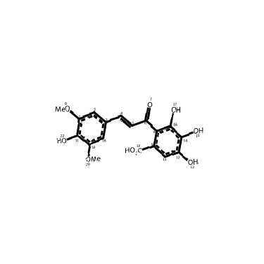 COc1cc(/C=C/C(=O)c2c(C(=O)O)cc(O)c(O)c2O)cc(OC)c1O